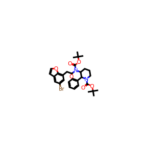 CC(C)(C)OC(=O)N1CCCC(N(C(=O)Cc2cc(Br)cc3ccoc23)C(=O)OC(C)(C)C)C1c1ccccc1